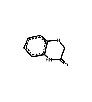 O=C1C[N]c2ccccc2N1